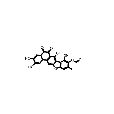 Cc1cc2oc3cc4c(c(O)c3c2c(O)c1OC=O)C(=O)C(=O)C1C=C(O)C(O)=CC41